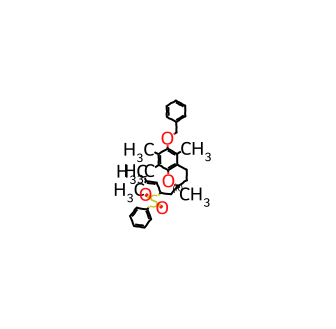 CC(C)=CC(C[C@@]1(C)CCc2c(C)c(OCc3ccccc3)c(C)c(C)c2O1)S(=O)(=O)c1ccccc1